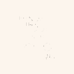 CCOC(=O)CSC1=C(C(=O)OCc2ccc([N+](=O)[O-])cc2)N2C(=O)[C@@H]([C@@H](C)O)[C@H]2C1